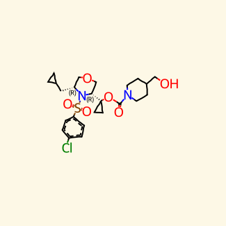 O=C(OC1([C@H]2COC[C@@H](CC3CC3)N2S(=O)(=O)c2ccc(Cl)cc2)CC1)N1CCC(CO)CC1